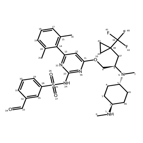 CN[C@H]1CC[C@H](N(C)[C@@H](COc2cc(-c3c(C)cccc3C)nc(NS(=O)(=O)c3cccc(C=O)c3)n2)CC2(C(F)(F)F)CC2)CC1